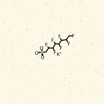 O=S(=O)([O-])CC(F)C(F)C(F)C(F)C(F)C(F)CF.[K+]